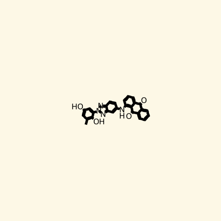 Cc1cc(O)cc(-n2nc3ccc(Nc4cccc5c4C(=O)c4ccccc4C5=O)cc3n2)c1O